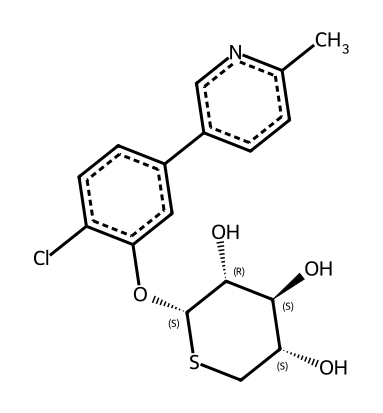 Cc1ccc(-c2ccc(Cl)c(O[C@H]3SC[C@@H](O)[C@H](O)[C@H]3O)c2)cn1